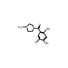 CN1CCN(C(=O)c2cc(Cl)c(O)cc2O)CC1